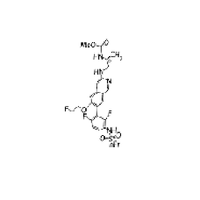 CCCS(=O)(=O)Nc1ccc(F)c(-c2cc3cnc(NC[C@H](C)NC(=O)OC)cc3cc2OCCF)c1F